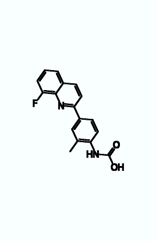 Cc1cc(-c2ccc3cccc(F)c3n2)ccc1NC(=O)O